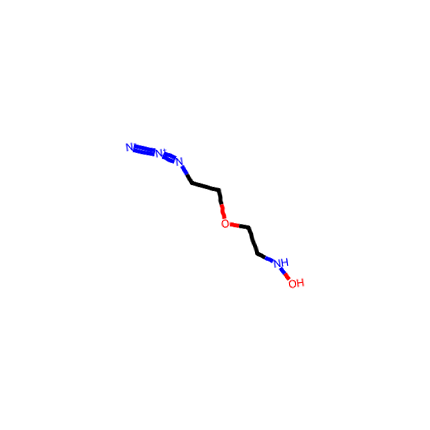 [N-]=[N+]=NCCOCCNO